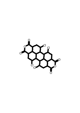 O=C1OC(=O)C2CC(Cl)C3C4C(Cl)CC5C(=O)OC(=O)C6CC(Cl)C(C7C(Cl)CC1C2C73)C4C65